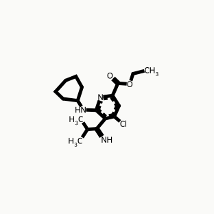 CCOC(=O)c1cc(Cl)c(C(=N)C(C)C)c(NC2CCCCC2)n1